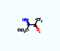 CCOC(=O)C(=N)C(=O)C(F)(F)F